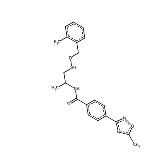 CC(CNOCc1ccccc1C(F)(F)F)NC(=O)c1ccc(-c2noc(C(F)(F)F)n2)cc1